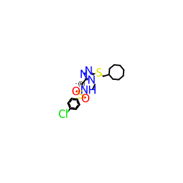 CCn1c(SCC2CCCCCCC2)nnc1[C@@H](C)NS(=O)(=O)c1ccc(Cl)cc1